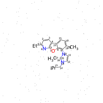 CCc1ccc2c(n1)oc1c(N3C=CN(CC(C)C)[C@@H]3C)c(C)ccc12